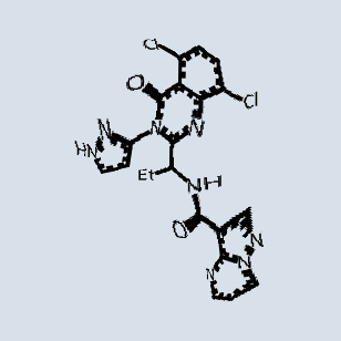 CCC(NC(=O)c1cnn2cccnc12)c1nc2c(Cl)ccc(Cl)c2c(=O)n1-c1cc[nH]n1